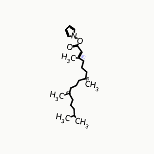 C/C(=C\C(=O)On1cccc1)CCC[C@H](C)CCC[C@H](C)CCCC(C)C